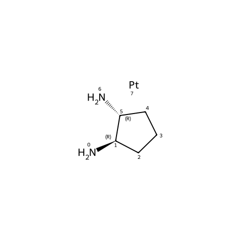 N[C@@H]1CCC[C@H]1N.[Pt]